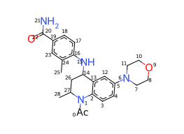 CC(=O)N1c2ccc(N3CCOCC3)cc2C(Nc2ccc(C(N)=O)cc2C)CC1C